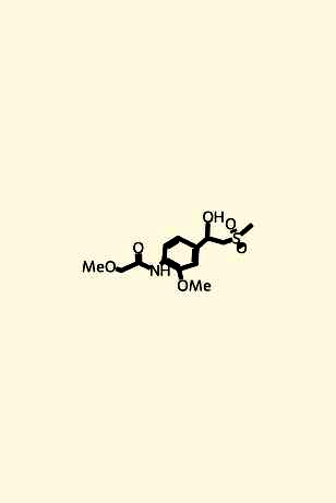 COCC(=O)Nc1ccc(C(O)CS(C)(=O)=O)cc1OC